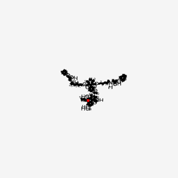 CC1=C(C(=O)OCCCCCCNCC(O)COc2ccccc2)C(c2cccc(OC(C)C)c2)C(C(=O)OCCCCCC(C)NCC(O)COc2ccccc2)=C(C)N1C.CCCCOc1ccccc1C1C(C(=O)O)=C(C)NC(C)=C1C(=O)O.Cl.Cl